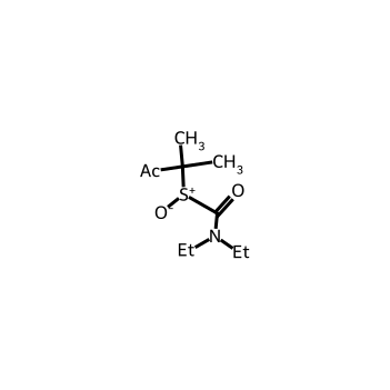 CCN(CC)C(=O)[S+]([O-])C(C)(C)C(C)=O